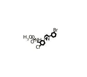 COC(=O)NCc1cc(-n2ccc(-c3cccc(Br)c3)n2)ccc1Cl